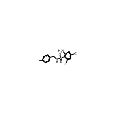 Nc1cc(Cl)cc(Cl)c1S(=O)(=O)NCc1ccc(F)cc1